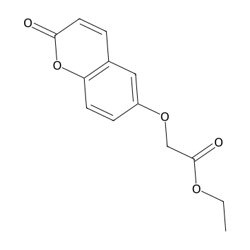 CCOC(=O)COc1ccc2oc(=O)ccc2c1